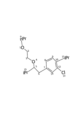 CCCOCCOC(Cc1ccc(C(C)C)c(Cl)c1)C(C)C